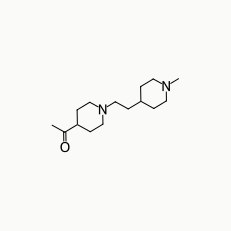 CC(=O)C1CCN(CCC2CCN(C)CC2)CC1